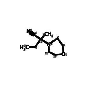 CCC(C)(C#N)N1CCOCC1